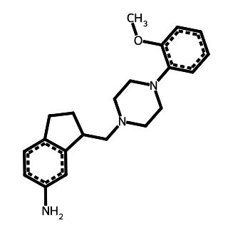 COc1ccccc1N1CCN(CC2CCc3ccc(N)cc32)CC1